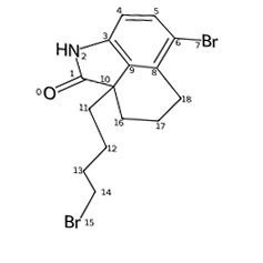 O=C1Nc2ccc(Br)c3c2C1(CCCCBr)CCC3